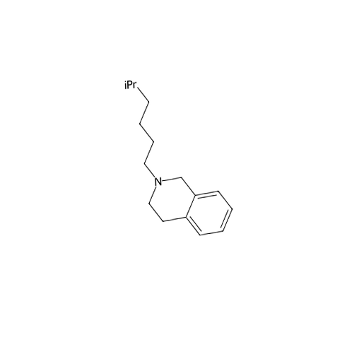 CC(C)CCCCN1CCc2ccccc2C1